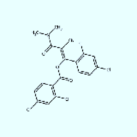 CN(C)C(=O)C(C#N)=C(OC(=O)c1ccc(Cl)cc1Cl)c1ccc(Cl)cc1Cl